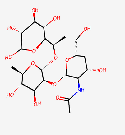 CC(=O)N[C@H]1[C@H](O[C@@H]2[C@@H](O[C@H](C)[C@H]3OC(O)[C@H](O)[C@@H](O)[C@@H]3O)O[C@H](C)[C@@H](O)[C@@H]2O)O[C@H](CO)C[C@@H]1O